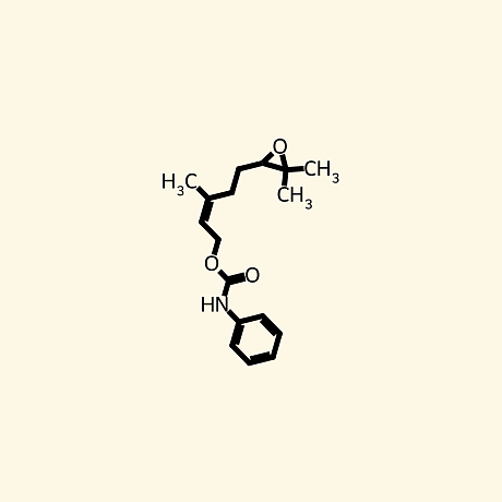 CC(=CCOC(=O)Nc1ccccc1)CCC1OC1(C)C